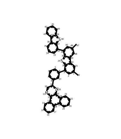 Cc1cc(-c2cccc(-c3cnc4c5ccccc5c5ccccc5c4n3)c2)c2sc3c(-c4cccc5c4sc4ccccc45)cc(C)cc3c2c1